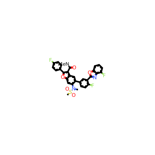 CNC(=O)c1c(-c2ccc(F)cc2)oc2cc(N(C)S(C)(=O)=O)c(-c3ccc(F)c(-c4nc5c(F)cccc5o4)c3)cc12